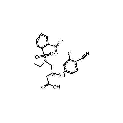 CCN(C[C@H](CC(=O)O)Nc1ccc(C#N)c(Cl)c1)S(=O)(=O)c1ccccc1[N+](=O)[O-]